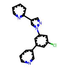 Clc1cc(-c2cccnc2)cc(-n2cc(-c3ccccn3)cn2)c1